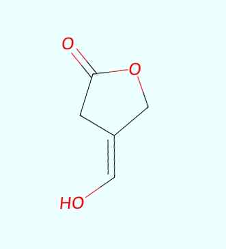 O=C1CC(=CO)CO1